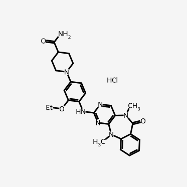 CCOc1cc(N2CCC(C(N)=O)CC2)ccc1Nc1ncc2c(n1)N(C)c1ccccc1C(=O)N2C.Cl